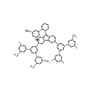 Cc1cc(C)cc(-c2cc(-c3cc(C)cc(C(F)(F)F)c3)cc(-c3ccc4c(c3)c3cc(-c5cc(-c6cc(C)cc(C(F)(F)F)c6)cc(-c6cc(C(F)(F)F)cc(C(F)(F)F)c6)c5)ccc3n4-c3ccccc3-c3cc(C(C)(C)C)cc(C(C)(C)C)c3)c2)c1